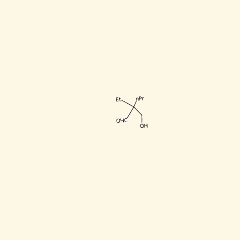 CCCC(C=O)(CC)CO